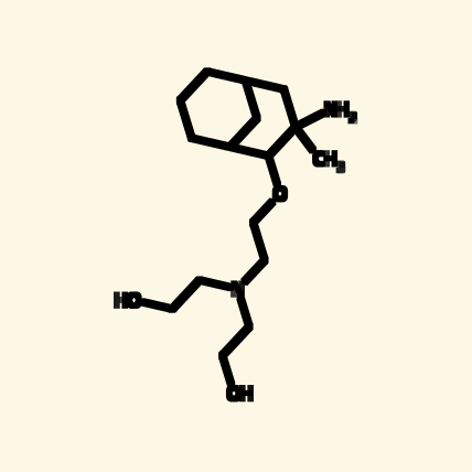 CC1(N)CC2CCCC(C2)C1OCCN(CCO)CCO